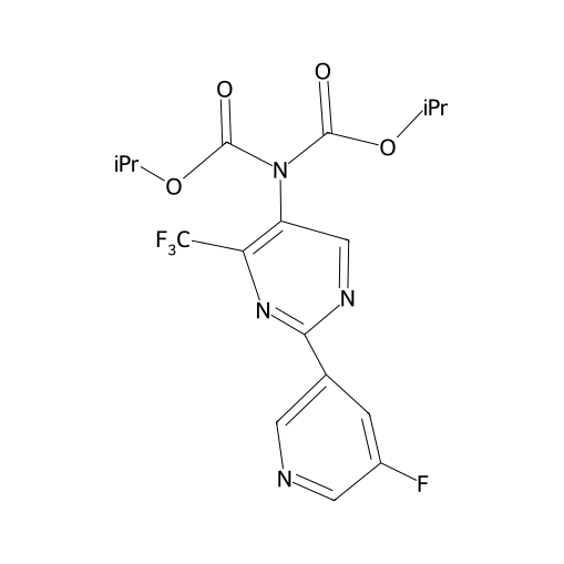 CC(C)OC(=O)N(C(=O)OC(C)C)c1cnc(-c2cncc(F)c2)nc1C(F)(F)F